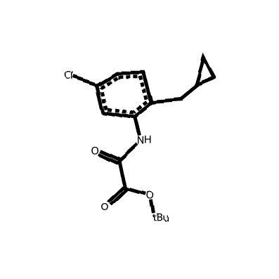 CC(C)(C)OC(=O)C(=O)Nc1cc(Cl)ccc1CC1CC1